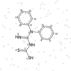 N=C(NC(=S)S)N(c1ccccc1)c1ccccc1